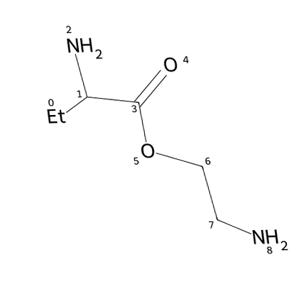 CCC(N)C(=O)OCCN